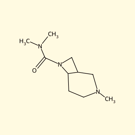 CN1CCC2C(C1)CN2C(=O)N(C)C